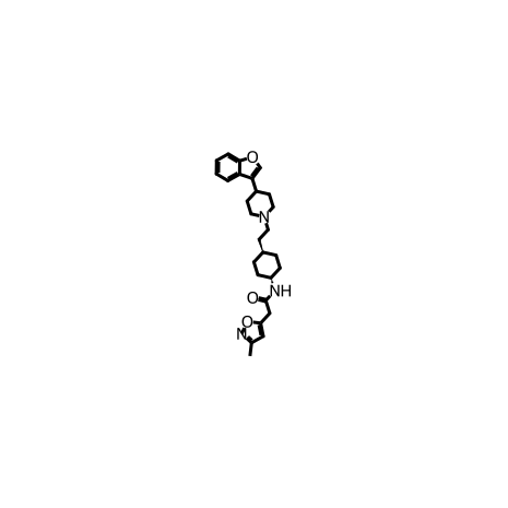 Cc1cc(CC(=O)N[C@H]2CC[C@H](CCN3CCC(c4coc5ccccc45)CC3)CC2)on1